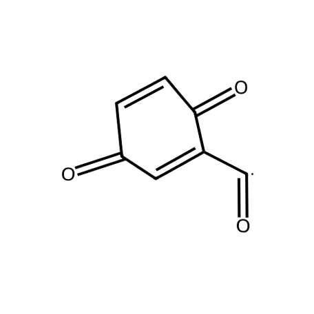 O=[C]C1=CC(=O)C=CC1=O